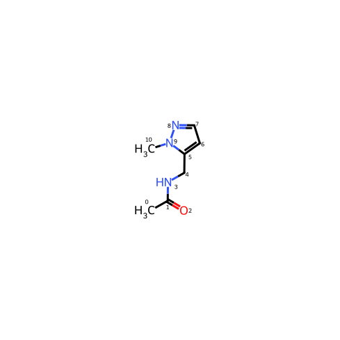 CC(=O)NCc1ccnn1C